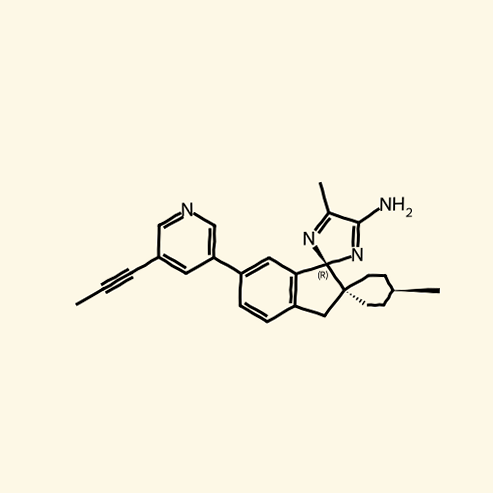 CC#Cc1cncc(-c2ccc3c(c2)[C@@]2(N=C(C)C(N)=N2)[C@]2(CC[C@H](C)CC2)C3)c1